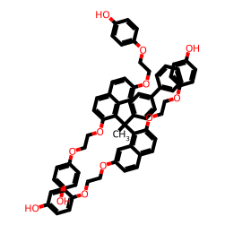 CC(c1ccc(-c2ccccc2)cc1)(c1c(OCCOc2ccc(O)cc2)ccc2ccc(OCCOc3ccc(O)cc3)cc12)c1c(OCCOc2ccc(O)cc2)ccc2ccc(OCCOc3ccc(O)cc3)cc12